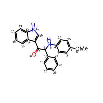 COc1ccc(NC(C(=O)c2c[nH]c3ccccc23)c2ccccc2)cc1